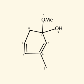 COC1(O)C=C(C)C=CC1